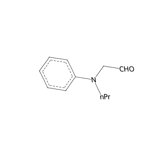 CCCN(CC=O)c1ccccc1